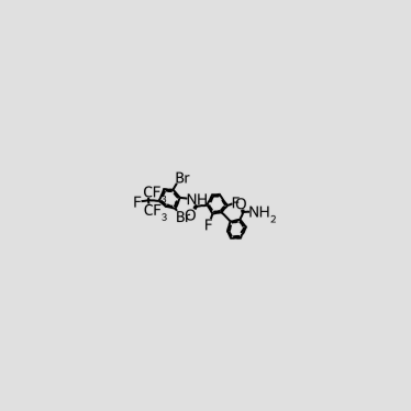 NC(=O)c1ccccc1-c1c(F)ccc(C(=O)Nc2c(Br)cc(C(F)(C(F)(F)F)C(F)(F)F)cc2Br)c1F